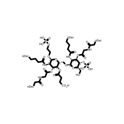 CCCCCCCCCCCCCC(=O)N[C@H]1[C@@H](OCCOP(=O)(O)O)O[C@H](CO[C@@H]2O[C@H](CO)[C@@H](OP(=O)(O)O)[C@H](OC(=O)CNC(=O)CCCCCCCCCCC)[C@H]2NC(=O)CCCCCCCCCCCCC)[C@@H](OC(=O)CCC(=O)O)[C@@H]1OC(=O)CNC(=O)CCCCCCCCCCC